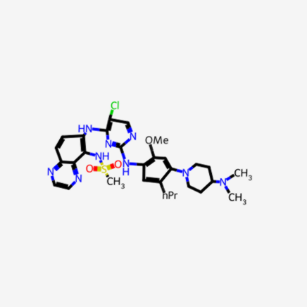 CCCc1cc(Nc2ncc(Cl)c(Nc3ccc4nccnc4c3NS(C)(=O)=O)n2)c(OC)cc1N1CCC(N(C)C)CC1